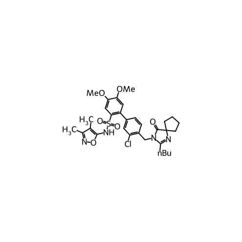 CCCCC1=NC2(CCCC2)C(=O)N1Cc1ccc(-c2cc(OC)c(OC)cc2S(=O)(=O)Nc2onc(C)c2C)cc1Cl